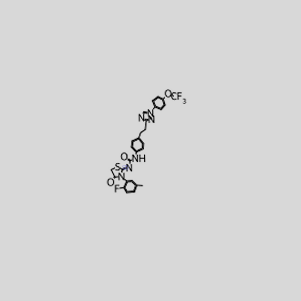 Cc1ccc(F)c(N2C(=O)CS/C2=N\C(=O)Nc2ccc(CCc3ncn(-c4ccc(OC(F)(F)F)cc4)n3)cc2)c1